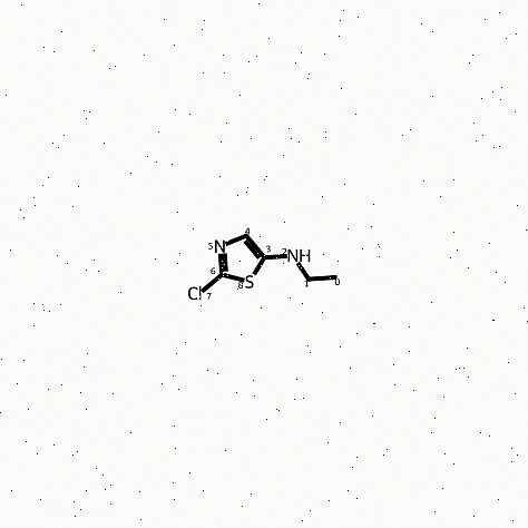 CCNc1cnc(Cl)s1